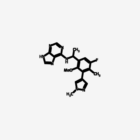 COc1c(C(C)Nc2ncnc3[nH]cnc23)cc(F)c(C)c1-c1cnn(C)c1